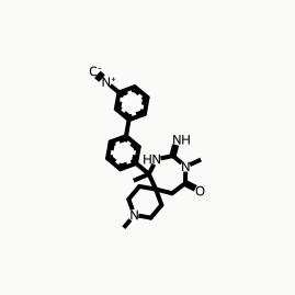 [C-]#[N+]c1cccc(-c2cccc(C3(C)NC(=N)N(C)C(=O)CC34CCN(C)CC4)c2)c1